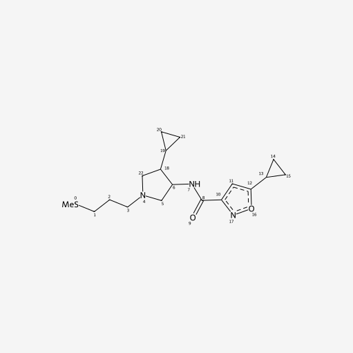 CSCCCN1CC(NC(=O)c2cc(C3CC3)on2)C(C2CC2)C1